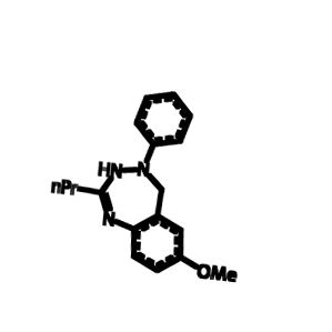 CCCC1=Nc2ccc(OC)cc2CN(c2ccccc2)N1